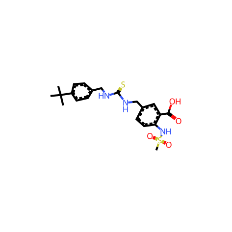 CC(C)(C)c1ccc(CNC(=S)NCc2ccc(NS(C)(=O)=O)c(C(=O)O)c2)cc1